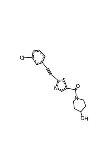 O=C(c1cnc(C#Cc2cccc(Cl)c2)s1)N1CCC(O)CC1